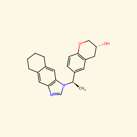 C[C@H](c1ccc2c(c1)C[C@@H](O)CO2)n1cnc2cc3c(cc21)CCCC3